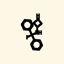 IC(NC1CNC1)(c1ccccc1)c1ccccc1